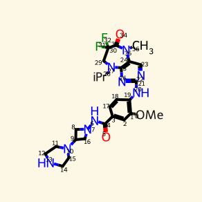 COc1cc(C(=O)NN2CC(N3CCNCC3)C2)ccc1Nc1ncc2c(n1)N(C(C)C)CC(F)(F)C(=O)N2C